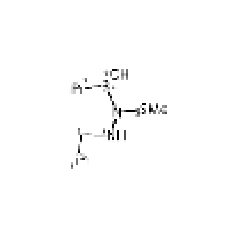 CSN(NCC(C)C)B(O)C(C)C